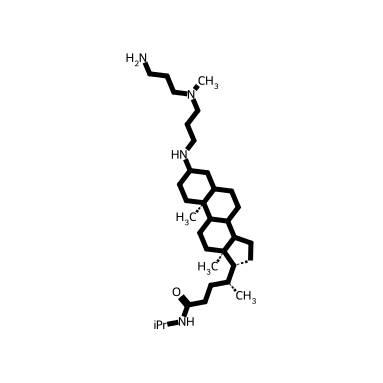 CC(C)NC(=O)CC[C@@H](C)[C@H]1CCC2C3CCC4CC(NCCCN(C)CCCN)CC[C@]4(C)C3CC[C@@]21C